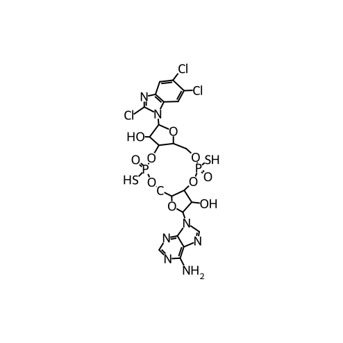 Nc1ncnc2c1ncn2C1OC2COP(=O)(S)OC3C(COP(=O)(S)OC2C1O)OC(n1c(Cl)nc2cc(Cl)c(Cl)cc21)C3O